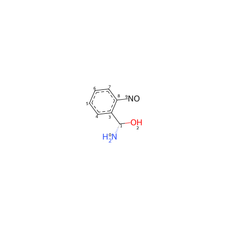 N[C@@H](O)c1ccccc1N=O